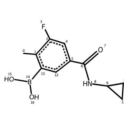 Cc1c(F)cc(C(=O)NC2CC2)cc1B(O)O